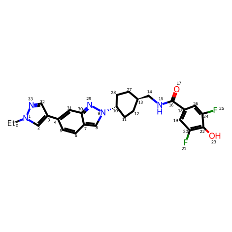 CCn1cc(-c2ccc3cn([C@H]4CC[C@H](CNC(=O)c5cc(F)c(O)c(F)c5)CC4)nc3c2)cn1